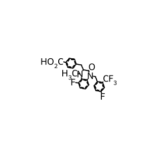 CN1c2c(F)cccc2N(Cc2ccc(F)cc2C(F)(F)F)C(=O)C1Cc1ccc(C(=O)O)cc1